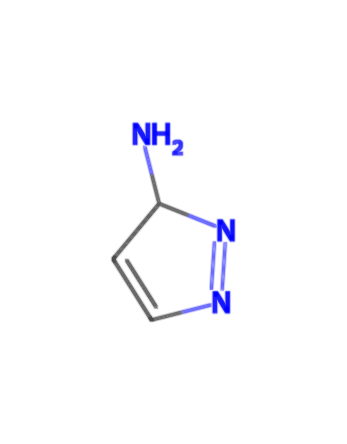 NC1C=CN=N1